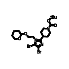 CC(C)(C)OC(=O)N1CCC(c2nc(Br)c(Br)n2CCOC2CCCCO2)CC1